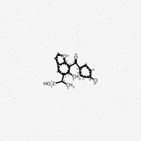 Cc1c(C(C)C(=O)O)cc2ccoc2c1C(=O)c1ccc(Cl)cc1